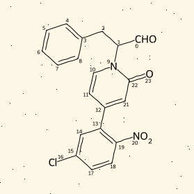 O=CC(Cc1ccccc1)n1ccc(-c2cc(Cl)ccc2[N+](=O)[O-])cc1=O